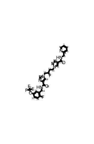 O=C(NCc1ccccn1)c1cn(CCC(F)Cn2cc(C(=O)NCc3cc(OC(F)(F)F)ccc3F)nn2)nn1